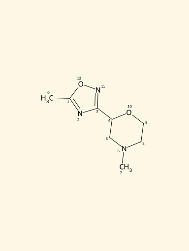 Cc1nc(C2CN(C)CCO2)no1